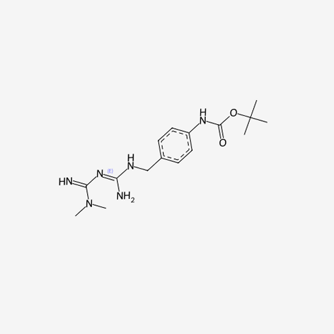 CN(C)C(=N)/N=C(\N)NCc1ccc(NC(=O)OC(C)(C)C)cc1